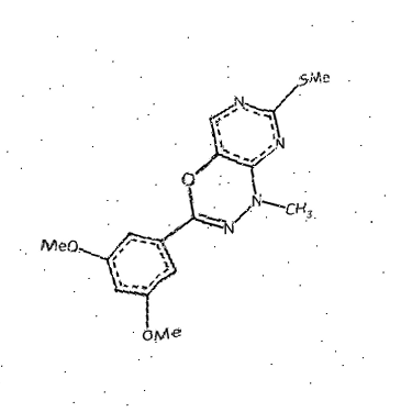 COc1cc(OC)cc(C2=NN(C)c3nc(SC)ncc3O2)c1